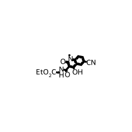 CCOC(=O)CNC(=O)c1c(O)c2cc(C#N)ccc2n(C)c1=O